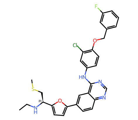 CCN[C@@H](CSC)c1ccc(-c2ccc3ncnc(Nc4ccc(OCc5cccc(F)c5)c(Cl)c4)c3c2)o1